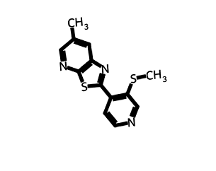 CSc1cnccc1-c1nc2cc(C)cnc2s1